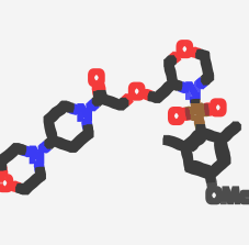 COc1cc(C)c(S(=O)(=O)N2CCOCC2COCC(=O)N2CCC(N3CCOCC3)CC2)c(C)c1